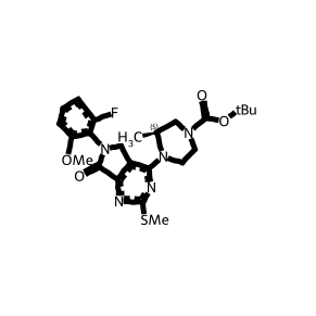 COc1cccc(F)c1N1Cc2c(nc(SC)nc2N2CCN(C(=O)OC(C)(C)C)C[C@@H]2C)C1=O